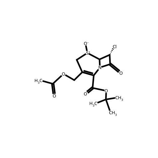 CC(=O)OCC1=C(C(=O)OC(C)(C)C)N2C(=O)[C@@H](Cl)C2[S+]([O-])C1